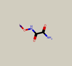 NC(=O)C(=O)NOI